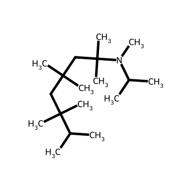 CC(C)N(C)C(C)(C)CC(C)(C)CC(C)(C)C(C)C